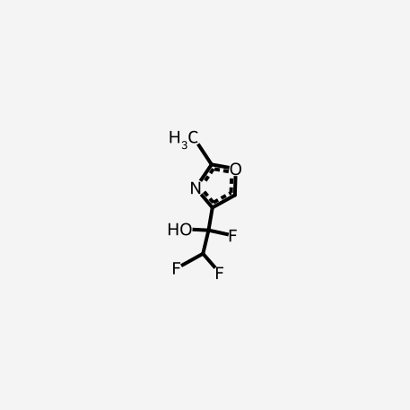 Cc1nc(C(O)(F)C(F)F)co1